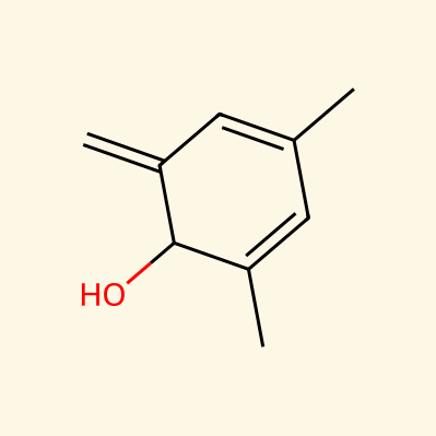 C=C1C=C(C)C=C(C)C1O